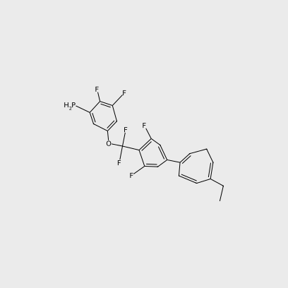 CCC1=CCC=C(c2cc(F)c(C(F)(F)Oc3cc(F)c(F)c(P)c3)c(F)c2)C=C1